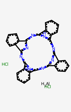 Cl.Cl.[AlH3].c1ccc2c(c1)-c1nc-2nc2[nH]c(nc3nc(nc4[nH]c(n1)c1ccccc41)-c1ccccc1-3)c1ccccc21